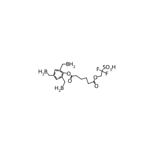 BCc1cc(CB)c(OC(=O)CCCCC(=O)OCC(F)(F)S(=O)(=O)O)c(CB)c1